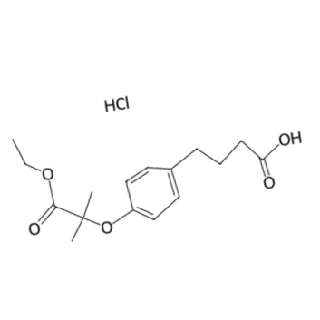 CCOC(=O)C(C)(C)Oc1ccc(CCCC(=O)O)cc1.Cl